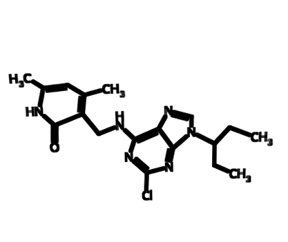 CCC(CC)n1cnc2c(NCc3c(C)cc(C)[nH]c3=O)nc(Cl)nc21